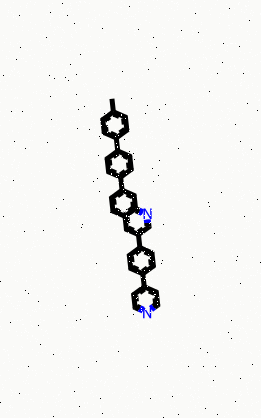 Cc1ccc(-c2ccc(-c3ccc4cc(-c5ccc(-c6ccncc6)cc5)cnc4c3)cc2)cc1